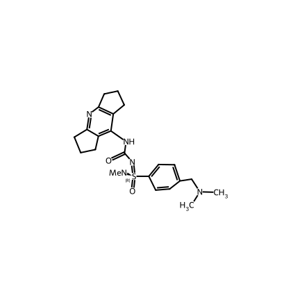 CN[S@@](=O)(=NC(=O)Nc1c2c(nc3c1CCC3)CCC2)c1ccc(CN(C)C)cc1